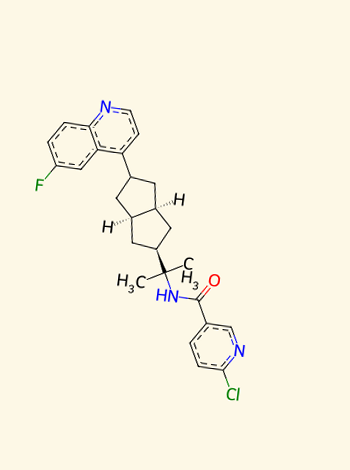 CC(C)(NC(=O)c1ccc(Cl)nc1)[C@H]1C[C@H]2CC(c3ccnc4ccc(F)cc34)C[C@H]2C1